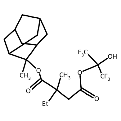 CCC(C)(CC(=O)OC(O)(C(F)(F)F)C(F)(F)F)C(=O)OC1(C)C2CC3CC(C2)CC1C3